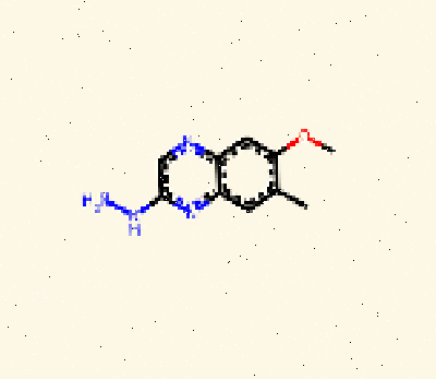 COc1cc2ncc(NN)nc2cc1C